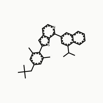 Cc1cc(CC(C)(C)C)cc(C)c1-c1cc2ccnc(-c3cc(C(C)C)c4ccccc4c3)c2s1